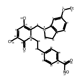 CCOc1ccc2c(c1)N(Cc1c(Cl)cc(Cl)c(=O)n1CCc1ccc(C(=O)N=O)cc1)CC2